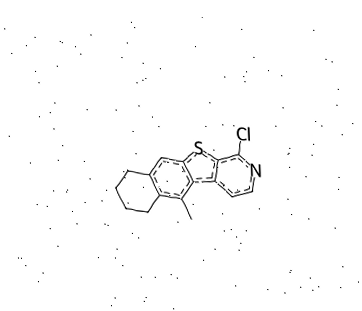 Cc1c2c(cc3sc4c(Cl)nccc4c13)CCCC2